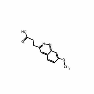 COc1ccc2cc(CCC(=O)O)nnc2c1